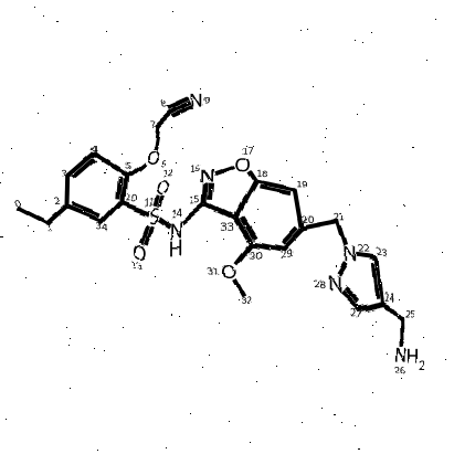 CCc1ccc(OCC#N)c(S(=O)(=O)Nc2noc3cc(Cn4cc(CN)cn4)cc(OC)c23)c1